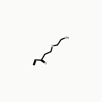 C=CC(=O)CCOCCO